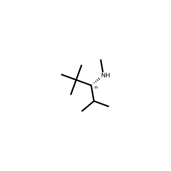 CN[C@H](C(C)C)C(C)(C)C